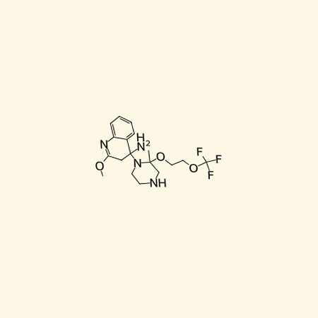 COC1=Nc2ccccc2C(N)(N2CCNCC2(C)OCCOC(F)(F)F)C1